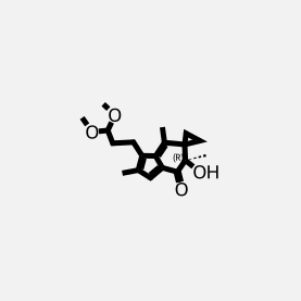 COC(CCC1=C(C)C=C2C(=O)[C@](C)(O)C3(CC3)C(C)=C21)OC